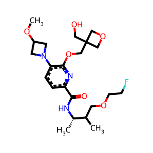 COC1CN(c2ccc(C(=O)N[C@@H](C)C(C)COCCF)nc2OCC2(CO)COC2)C1